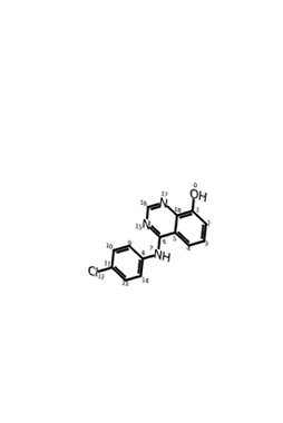 Oc1cccc2c(Nc3ccc(Cl)cc3)ncnc12